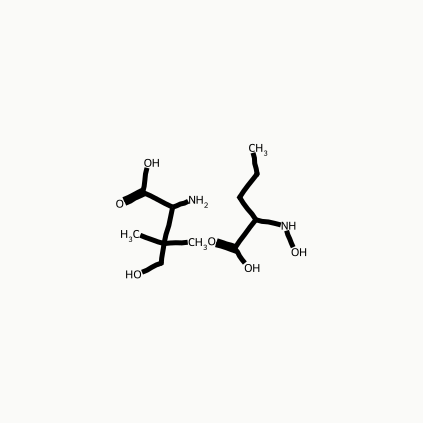 CC(C)(CO)C(N)C(=O)O.CCCC(NO)C(=O)O